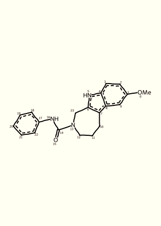 COc1ccc2[nH]c3c(c2c1)CCCN(C(=O)Nc1ccccc1)C3